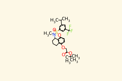 CC(C)c1cc(C(F)(F)F)cc(S(=O)(=O)N(C)C2CCCc3c(OCC(=O)OC(C)(C)C)cccc32)c1